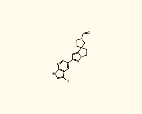 O=CN1CCC2(CCn3nc(-c4cnc5[nH]cc(Cl)c5c4)cc32)C1